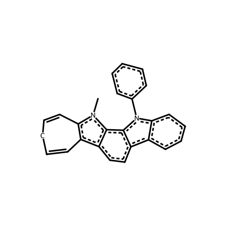 Cn1c2c(c3ccc4c5ccccc5n(-c5ccccc5)c4c31)C=CCC=C2